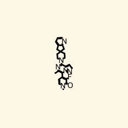 Cc1nc(N2CCC3(CC2)Cc2cccnc2C3)c2ccnn2c1-c1ccn(C)c(=O)c1F